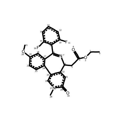 CCOC(=O)CC1N=C(c2c(F)cccc2F)c2cc(OC)ccc2-c2cn(C)c(=O)cc21